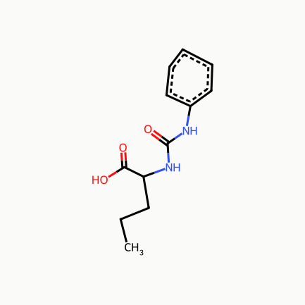 CCCC(NC(=O)Nc1ccccc1)C(=O)O